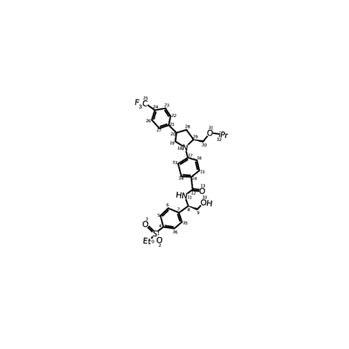 CCS(=O)(=O)c1ccc([C@H](CO)NC(=O)c2ccc(N3CC(c4ccc(C(F)(F)F)cc4)C[C@H]3COC(C)C)cc2)cc1